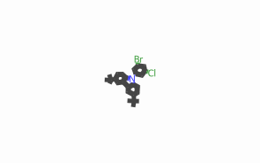 CC(C)(C)c1ccc2c(c1)c1cc(C(C)(C)C)ccc1n2-c1cc(Cl)cc(Br)c1